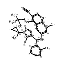 CC(C)(C)CNc1c(C#N)cnc2c(Cl)cc(NC(c3ccccc3Cl)c3nnn(C4(C)CC4)c3F)cc12